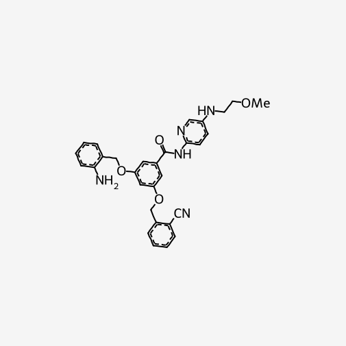 COCCNc1ccc(NC(=O)c2cc(OCc3ccccc3N)cc(OCc3ccccc3C#N)c2)nc1